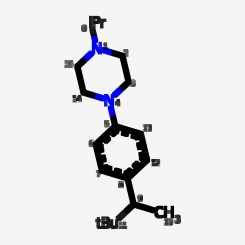 CC(C)N1CCN(c2ccc(C(C)C(C)(C)C)cc2)CC1